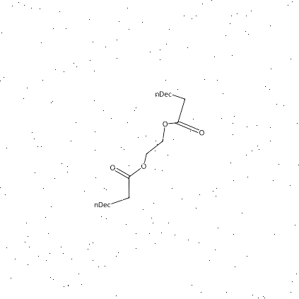 CCCCCCCCCCCC(=O)OCCOC(=O)CCCCCCCCCCC